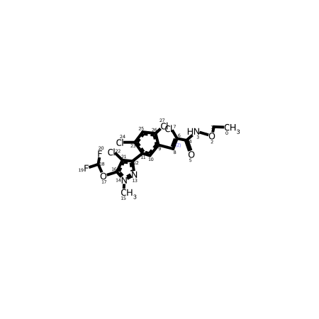 CCONC(=O)/C(Cl)=C/c1cc(-c2nn(C)c(OC(F)F)c2Cl)c(Cl)cc1Cl